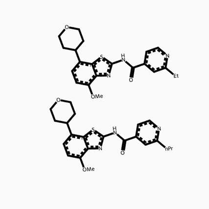 CCCc1cc(C(=O)Nc2nc3c(OC)ccc(C4CCOCC4)c3s2)ccn1.CCc1cc(C(=O)Nc2nc3c(OC)ccc(C4CCOCC4)c3s2)ccn1